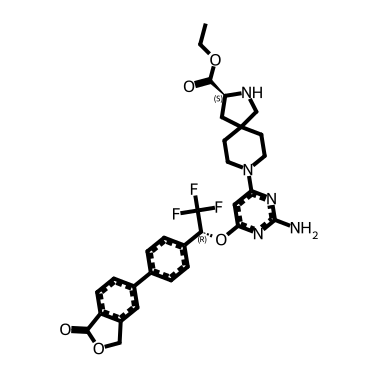 CCOC(=O)[C@@H]1CC2(CCN(c3cc(O[C@H](c4ccc(-c5ccc6c(c5)COC6=O)cc4)C(F)(F)F)nc(N)n3)CC2)CN1